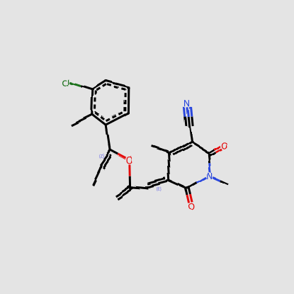 C=C(/C=C1/C(=O)N(C)C(=O)C(C#N)=C1C)O/C(=C\C)c1cccc(Cl)c1C